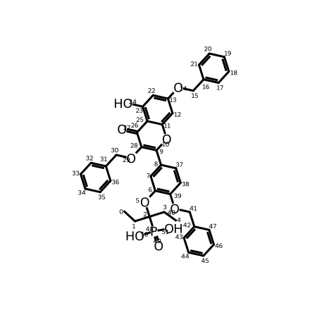 CCC(CC)(Oc1cc(-c2oc3cc(OCc4ccccc4)cc(O)c3c(=O)c2OCc2ccccc2)ccc1OCc1ccccc1)P(=O)(O)O